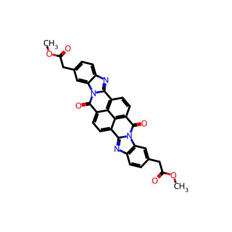 COC(=O)Cc1ccc2nc3c4ccc5c(=O)n6c7cc(CC(=O)OC)ccc7nc6c6ccc(c(=O)n3c2c1)c4c56